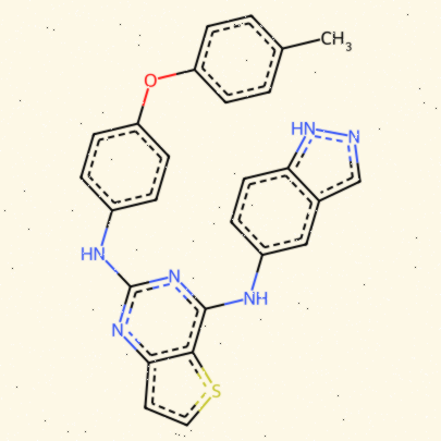 Cc1ccc(Oc2ccc(Nc3nc(Nc4ccc5[nH]ncc5c4)c4sccc4n3)cc2)cc1